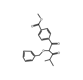 COC(=O)c1ccc(C(=O)[C](OCc2ccccc2)C(=O)C(C)C)cc1